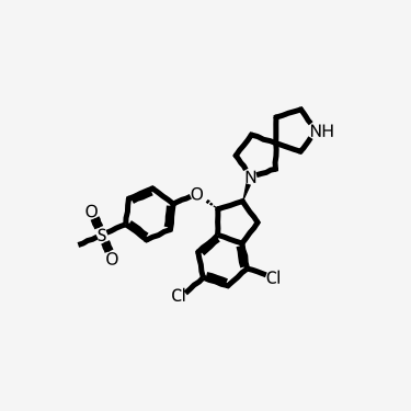 CS(=O)(=O)c1ccc(O[C@H]2c3cc(Cl)cc(Cl)c3C[C@@H]2N2CCC3(CCNC3)C2)cc1